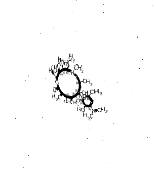 CC[C@H]1OC(=O)C(C)[C@@H](O)[C@H](C)[C@@H](O[C@@H]2O[C@H](C)C[C@H](N(C)C)[C@H]2O)[C@](C)(O)C[C@@H](C)CN(C)[C@H](C)[C@@H](O)[C@]1(C)O